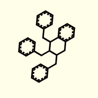 c1ccc(CC2Cc3ccccc3C(Cc3ccccc3)C2Cc2ccccc2)cc1